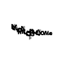 COc1ccc(C2COc3cc(Cn4cnc5cc(-n6ccnc6C)cnc54)cc(F)c3O2)cn1